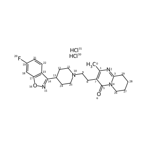 Cc1nc2n(c(=O)c1CCN1CCC(c3noc4cc(F)ccc34)CC1)CCCC2.Cl.Cl